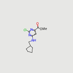 COC(=O)c1cc(NCC2CCCC2)nc(Cl)n1